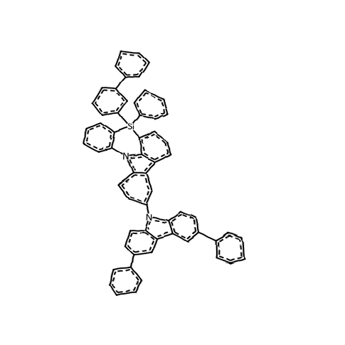 c1ccc(-c2cccc([Si]3(c4ccccc4)c4ccccc4-n4c5ccc(-n6c7ccc(-c8ccccc8)cc7c7cc(-c8ccccc8)ccc76)cc5c5cccc3c54)c2)cc1